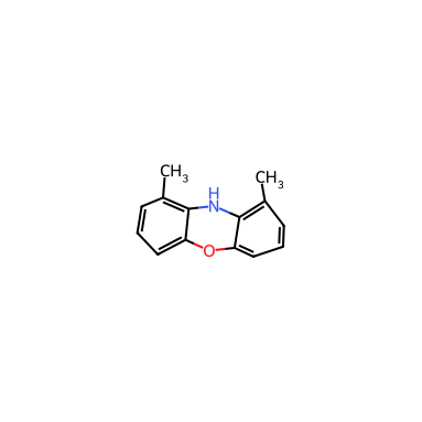 Cc1cccc2c1Nc1c(C)cccc1O2